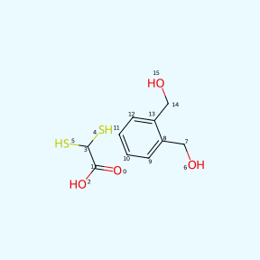 O=C(O)C(S)S.OCc1ccccc1CO